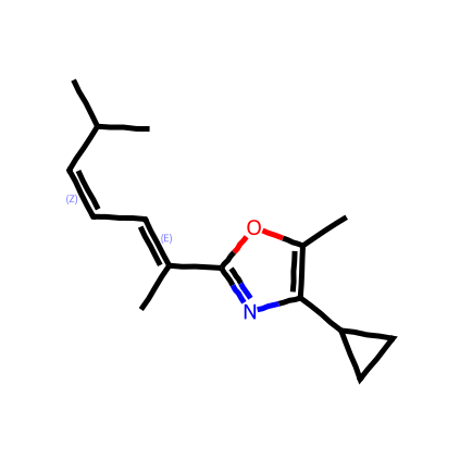 C/C(=C\C=C/C(C)C)c1nc(C2CC2)c(C)o1